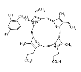 C=CC1=C(C)c2cc3[nH]c(cc4nc(cc5[nH]c(cc1n2)c(C)c5CCC(=O)O)C(CCC(=O)O)=C4C)c(C)c3C=C.Cc1ccc(C(C)C)cc1O